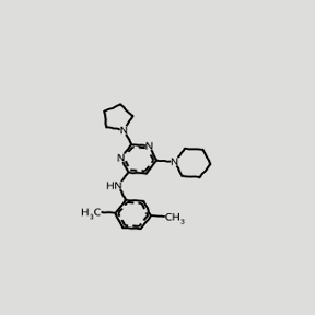 Cc1ccc(C)c(Nc2cc(N3CCCCC3)nc(N3CCCC3)n2)c1